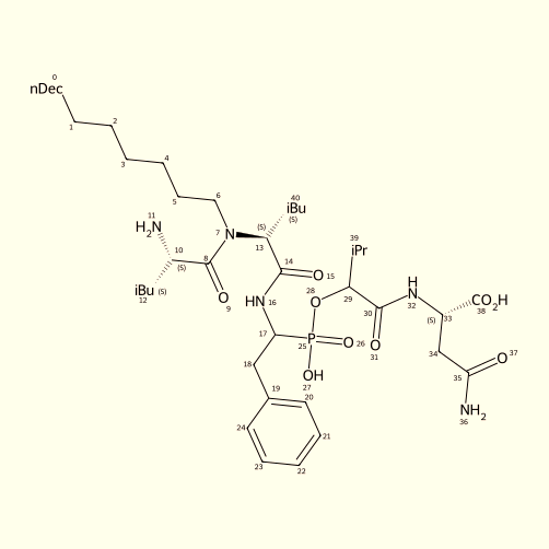 CCCCCCCCCCCCCCCCN(C(=O)[C@@H](N)[C@@H](C)CC)[C@H](C(=O)NC(Cc1ccccc1)P(=O)(O)OC(C(=O)N[C@@H](CC(N)=O)C(=O)O)C(C)C)[C@@H](C)CC